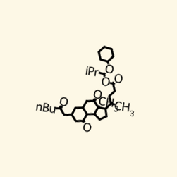 CCCCC(=O)CC1CC(=O)C2C(CC(=O)C3(C)C(C(C)CCC(=O)OC(OC4CCCCC4)C(C)C)CCC23)C1